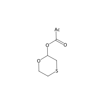 CC(=O)C(=O)OC1CSCCO1